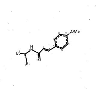 CCC(CC)NC(=O)/C=C/c1ccc(OC)cc1